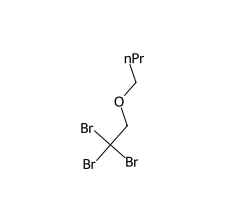 CCCCOCC(Br)(Br)Br